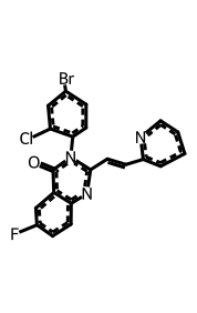 O=c1c2cc(F)ccc2nc(C=Cc2ccccn2)n1-c1ccc(Br)cc1Cl